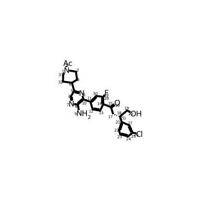 CC(=O)N1CCC(c2cnc(N)c(-c3ccc(C(=O)C[C@H](CO)c4cccc(Cl)c4)c(F)c3)n2)CC1